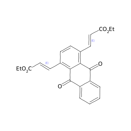 CCOC(=O)/C=C/c1ccc(/C=C/C(=O)OCC)c2c1C(=O)c1ccccc1C2=O